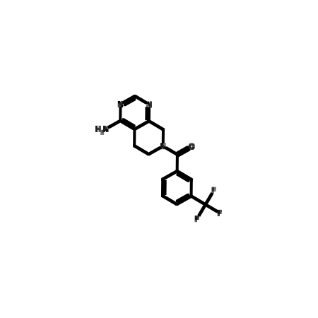 Nc1ncnc2c1CCN(C(=O)c1cccc(C(F)(F)F)c1)C2